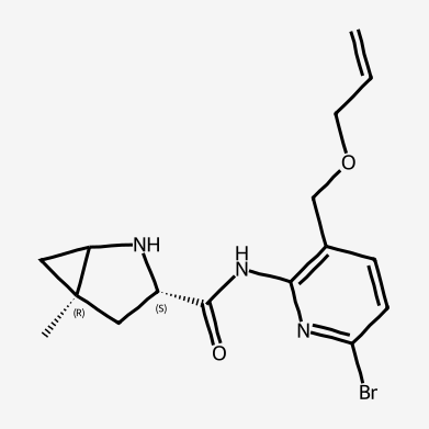 C=CCOCc1ccc(Br)nc1NC(=O)[C@@H]1C[C@@]2(C)CC2N1